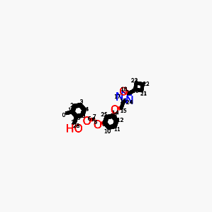 Cc1cccc(OCOc2cccc(OCc3noc(C4CCC4)n3)c2)c1CO